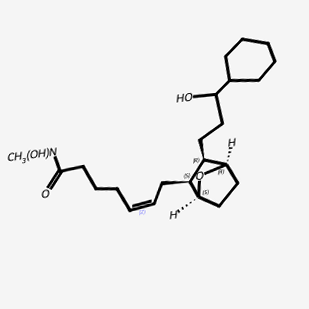 CN(O)C(=O)CCC/C=C\C[C@H]1[C@@H](CCC(O)C2CCCCC2)[C@H]2CC[C@@H]1O2